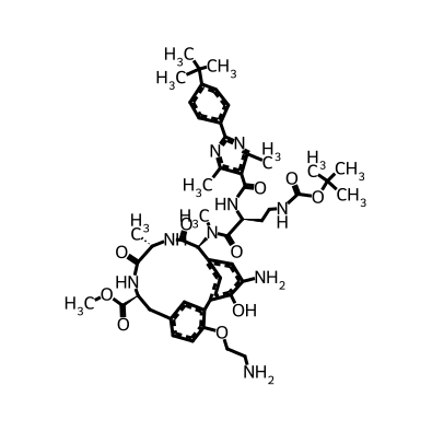 COC(=O)[C@@H]1Cc2ccc(OCCN)c(c2)-c2cc(cc(N)c2O)[C@H](N(C)C(=O)[C@H](CCNC(=O)OC(C)(C)C)NC(=O)c2c(C)nc(-c3ccc(C(C)(C)C)cc3)nc2C)C(=O)N[C@@H](C)C(=O)N1